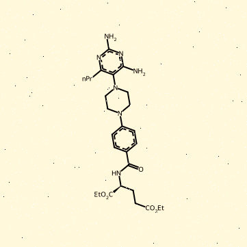 CCCc1nc(N)nc(N)c1N1CCN(c2ccc(C(=O)N[C@@H](CCC(=O)OCC)C(=O)OCC)cc2)CC1